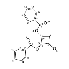 O=C(O[C@@H]1C(=O)C[C@H]1OC(=O)c1ccccc1)c1ccccc1